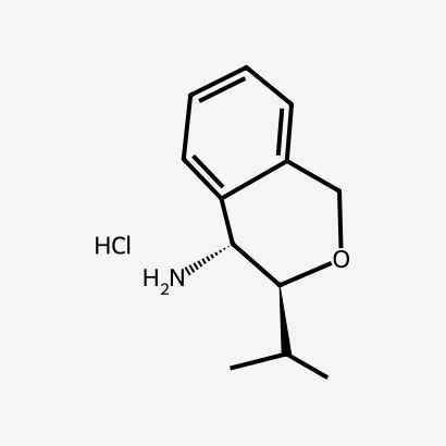 CC(C)[C@@H]1OCc2ccccc2[C@H]1N.Cl